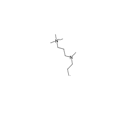 [CH2]CCN(C)CCC[N+](C)(C)C